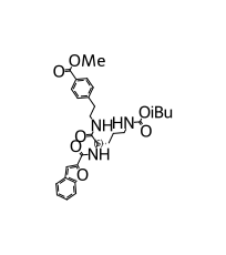 COC(=O)c1ccc(CCNC(=O)[C@H](CCCNC(=O)OCC(C)C)NC(=O)c2cc3ccccc3o2)cc1